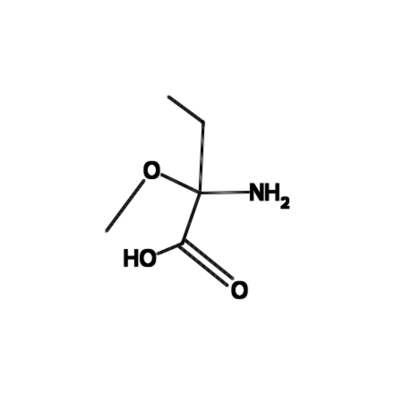 CCC(N)(OC)C(=O)O